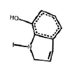 Oc1cccc2c1N(I)CC=C2